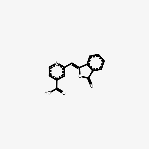 O=C(O)c1ccnc(C=C2OC(=O)c3ccccc32)c1